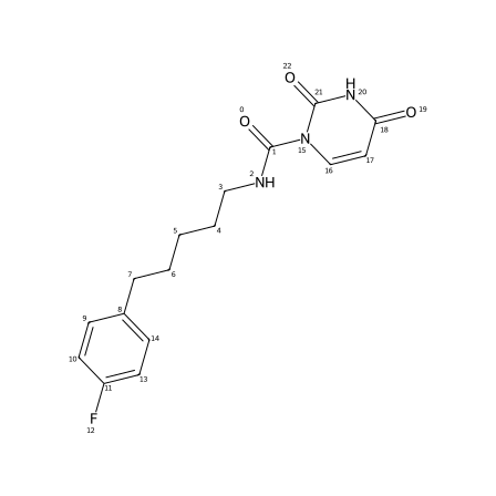 O=C(NCCCCCc1ccc(F)cc1)n1ccc(=O)[nH]c1=O